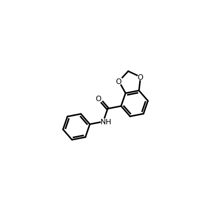 O=C(Nc1ccccc1)c1cccc2c1OCO2